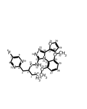 CCC(Cc1ncc(F)cn1)SNc1nnc(-c2ccco2)n1-c1c(OC)cccc1OC